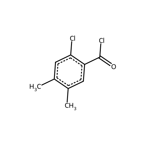 Cc1cc(Cl)c(C(=O)Cl)cc1C